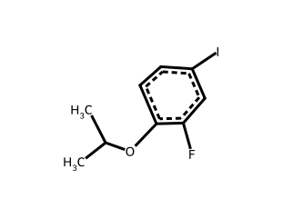 CC(C)Oc1ccc(I)cc1F